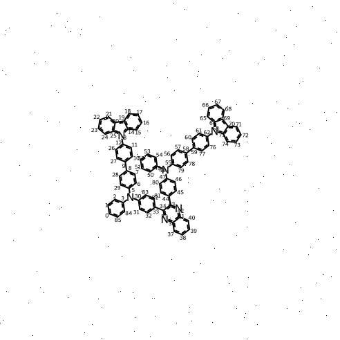 c1ccc(N(c2ccc(-c3ccc(-n4c5ccccc5c5ccccc54)cc3)cc2)c2ccc(-c3nc4ccccc4nc3-c3ccc(N(c4ccccc4)c4ccc(-c5ccc(-n6c7ccccc7c7ccccc76)cc5)cc4)cc3)cc2)cc1